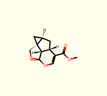 COC(=O)C1=CO[C@]2(O)OC[C@]34C[C@H]3C[C@H]1[C@H]24